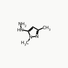 Cc1cc(NN)n(C)n1